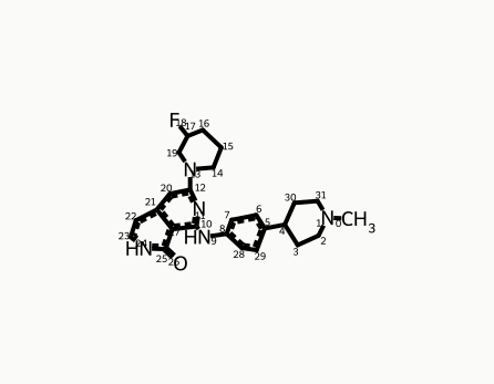 CN1CCC(c2ccc(Nc3nc(N4CCCC(F)C4)cc4cc[nH]c(=O)c34)cc2)CC1